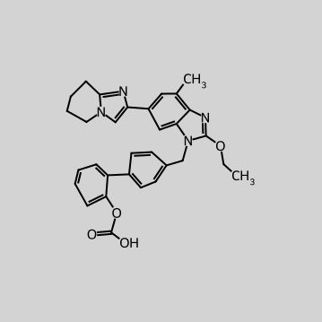 CCOc1nc2c(C)cc(-c3cn4c(n3)CCCC4)cc2n1Cc1ccc(-c2ccccc2OC(=O)O)cc1